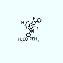 COc1ccc(C2=CC(N)(C(=O)C(C)c3ccc(-c4ccccc4)c(F)c3)N=N2)cc1OC